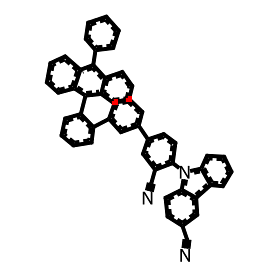 N#Cc1ccc2c(c1)c1ccccc1n2-c1ccc(-c2cccc(-c3ccccc3-c3c4ccccc4c(-c4ccccc4)c4ccccc34)c2)cc1C#N